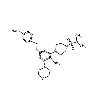 COc1ccc(C=Cc2nc(N3CCOCC3)c(N)c(N3CCN(S(=O)(=O)N(C)C)CC3)n2)cc1